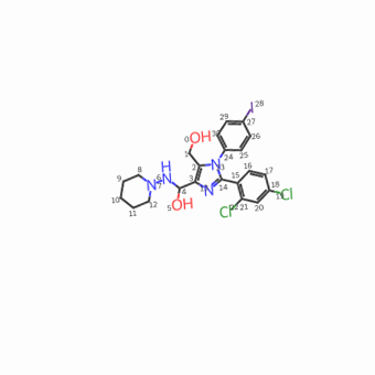 OCc1c(C(O)NN2CCCCC2)nc(-c2ccc(Cl)cc2Cl)n1-c1ccc(I)cc1